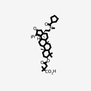 CC(C)C1=C2[C@H]3CCC4[C@@]5(C)CC[C@H](OC(=O)CC(C)(C)C(=O)O)C(C)(C)C5CC[C@@]4(C)[C@]3(C)CC[C@@]2(CCN(C)C(=O)C2CCCC2)CC1=O